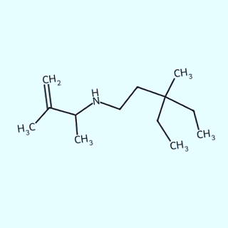 C=C(C)C(C)NCCC(C)(CC)CC